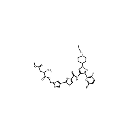 CCO[C@H]1CC[C@H](n2cc(NC(=O)c3csc(-c4cnn(COC(=O)C(N)CC(=O)OC)c4)n3)c(-c3nc(F)ccc3F)n2)CC1